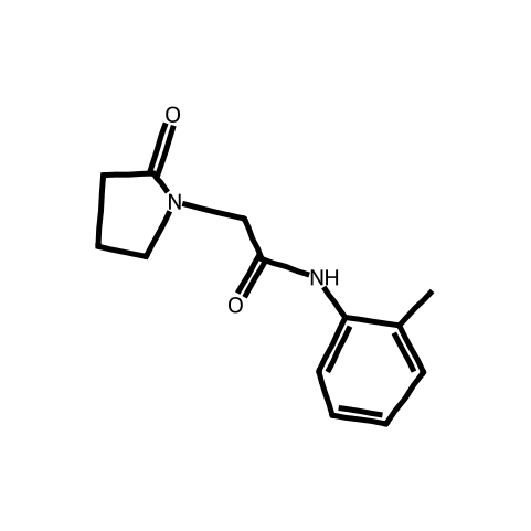 Cc1ccccc1NC(=O)CN1CCCC1=O